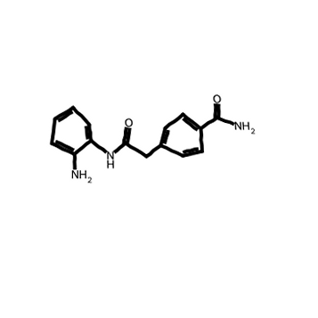 NC(=O)c1ccc(CC(=O)Nc2ccccc2N)cc1